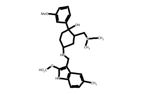 COc1cccc(C2(O)CCC(NCc3c(OC(=O)O)[nH]c4ccc(C)cc34)CC2CN(C)C)c1